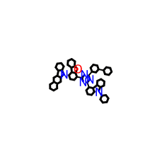 c1ccc(-c2cccc(-c3nc(-c4ccc(-n5c6ccccc6c6cc7ccccc7cc65)c5c4oc4ccccc45)nc(-c4cccc5c4c4ccccc4n5-c4ccccc4)n3)c2)cc1